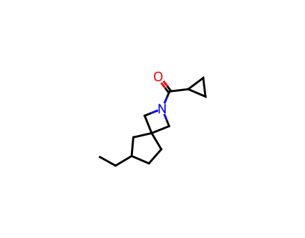 CCC1CCC2(C1)CN(C(=O)C1CC1)C2